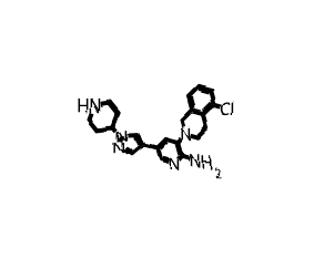 Nc1ncc(-c2cnn(C3CCNCC3)c2)cc1N1CCc2c(Cl)cccc2C1